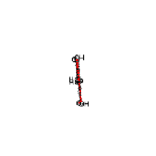 O=C(O)CCCCCCCCCCCCCCCC(O)C(=O)C(O)CCCCCCCCCCCCCCCC(=O)O